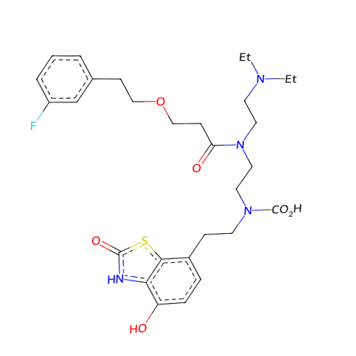 CCN(CC)CCN(CCN(CCc1ccc(O)c2[nH]c(=O)sc12)C(=O)O)C(=O)CCOCCc1cccc(F)c1